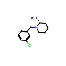 O=C(O)[C@@H]1CCCCN1Cc1cccc(Cl)c1